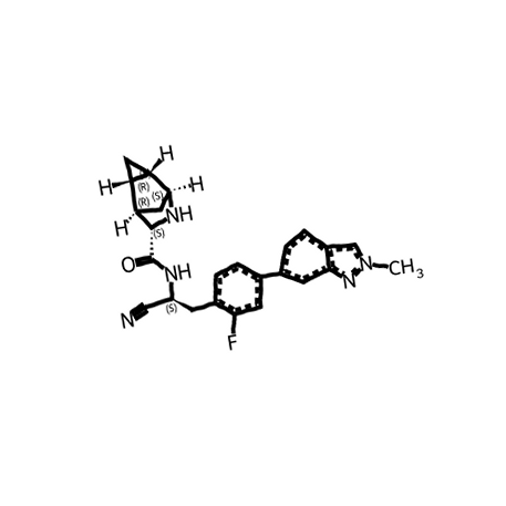 Cn1cc2ccc(-c3ccc(C[C@@H](C#N)NC(=O)[C@H]4N[C@H]5C[C@@H]4[C@@H]4C[C@@H]45)c(F)c3)cc2n1